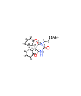 COCCN1C(=O)NC(=O)C(c2ccccc2)(c2ccccc2)C1=O